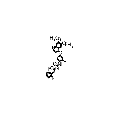 COc1cc2nccc(Oc3ccc(NC(=O)NC(=O)Cc4c(F)cccc4F)c(F)c3)c2cc1OC